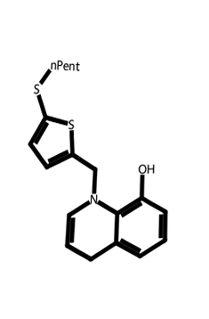 CCCCCSc1ccc(CN2C=CCc3cccc(O)c32)s1